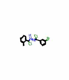 Cc1ccccc1C(Cl)NN=C(Cl)c1cccc(Br)c1